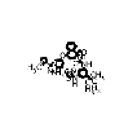 CN1CC[C@H]1c1nnc2ccc(O[C@@H]3C=C[C@](C=O)(NC(=O)Nc4cc(NS(C)(=O)=O)cc(C(C)(C)C)c4)c4ccccc43)cn12